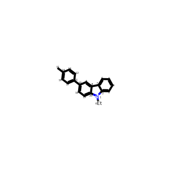 CCn1c2ccccc2c2cc(-c3ccc(C)cc3)ccc21